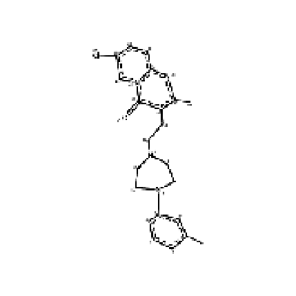 Cc1cccc(N2CCN(CCc3c(C)nc4ccc(Cl)cn4c3=O)CC2)c1